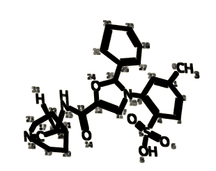 Cc1ccc(S(=O)(=O)O)c(N2C=C(C(=O)N[C@H]3CN4CCC3CC4)OC2c2ccccc2)c1